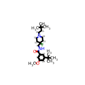 COc1cc(C(=O)NCC2(F)CCN(CCC(C)(C)C)CC2)cc(C(C)(C)C)c1